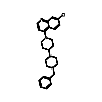 Clc1ccc2c(N3CCC(N4CCN(Cc5ccccc5)CC4)CC3)ccnc2c1